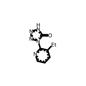 CCc1cccnc1-n1nn[nH]c1=O